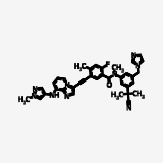 Cc1cc(F)c(C(=O)N(C)c2cc(Cn3ccnc3)cc(C(C)(C)C#N)c2)cc1C#Cc1cnc2c(Nc3cnn(C)c3)cccn12